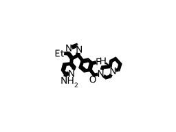 CCc1ncnc(-c2ccc(C(=O)N3CCN4CCCC[C@H]4C3)c(F)c2)c1-c1ccc(N)nc1